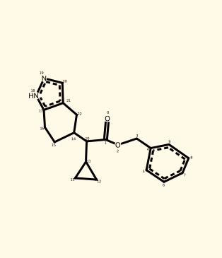 O=C(OCc1ccccc1)C(C1CC1)C1CCc2[nH]ncc2C1